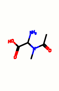 CC(=O)N(C)C(N)C(=O)O